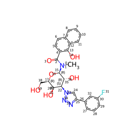 CN(C(=O)c1ccc2ccccc2c1O)[C@@H]1O[C@H](CO)[C@H](O)[C@H](n2cc(-c3cccc(F)c3)nn2)[C@H]1O